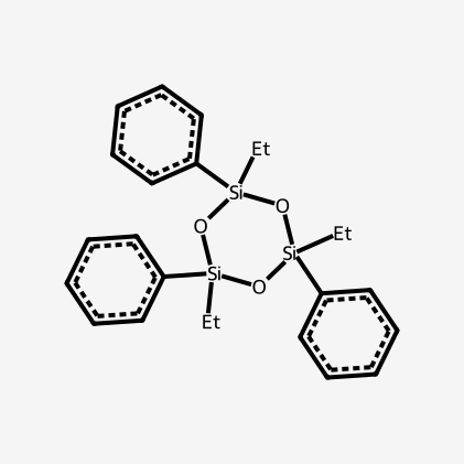 CC[Si]1(c2ccccc2)O[Si](CC)(c2ccccc2)O[Si](CC)(c2ccccc2)O1